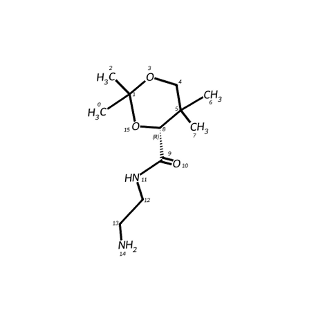 CC1(C)OCC(C)(C)[C@H](C(=O)NCCN)O1